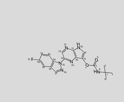 CC(C)(C)NC(=O)Oc1c[nH]c2ncc(-n3ncc4cc(F)ccc43)nc12